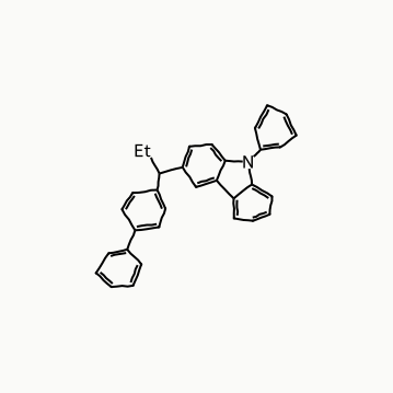 CCC(c1ccc(-c2ccccc2)cc1)c1ccc2c(c1)c1ccccc1n2-c1ccccc1